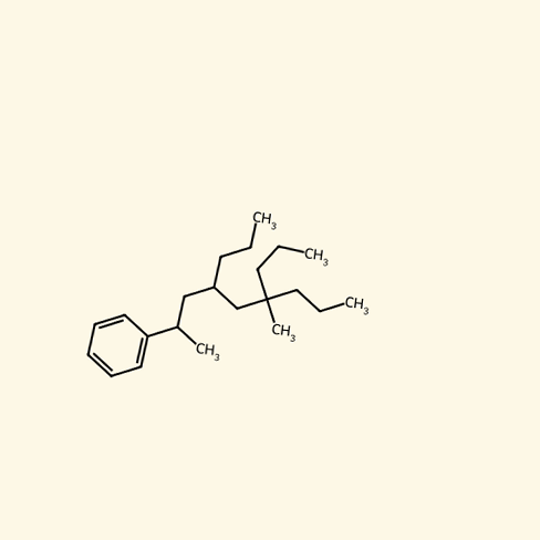 CCCC(CC(C)c1ccccc1)CC(C)(CCC)CCC